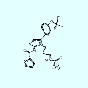 CC(=O)NCCCn1c(-c2ccc(OC(F)(F)F)cc2)cs/c1=N\C(=O)c1cccs1